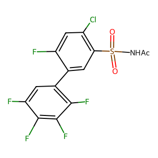 CC(=O)NS(=O)(=O)c1cc(-c2cc(F)c(F)c(F)c2F)c(F)cc1Cl